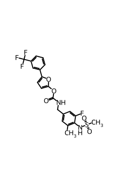 Cc1cc(CNC(=O)Oc2ccc(-c3cccc(C(F)(F)F)c3)o2)cc(F)c1NS(C)(=O)=O